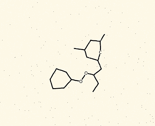 CCC(CC1CC(C)CC(C)C1)OOC1CCCCC1